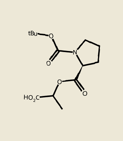 CC(OC(=O)[C@@H]1CCCN1C(=O)OC(C)(C)C)C(=O)O